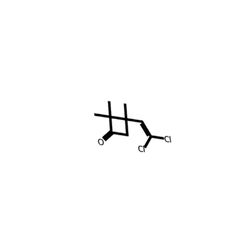 CC1(C=C(Cl)Cl)CC(=O)C1(C)C